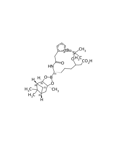 CC1(C)[C@@H]2C[C@H]1[C@H]1OB([C@@H](CCCC(CC(=O)O)O[Si](C)(C)C(C)(C)C)NC(=O)Cc3cccs3)O[C@@]1(C)C2